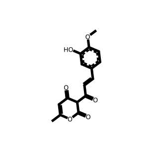 COc1ccc(/C=C/C(=O)C2C(=O)C=C(C)OC2=O)cc1O